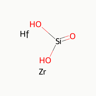 O=[Si](O)O.[Hf].[Zr]